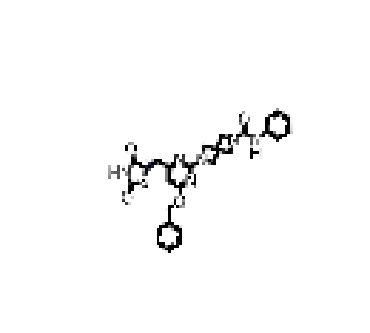 O=C1NC(=O)/C(=C/c2cc(OCc3ccccc3)nc(N3CC4(CN(C(=O)Nc5ccccc5)C4)C3)n2)S1